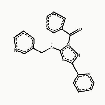 O=C(c1ccccc1)n1nc(-c2ccccn2)nc1NCc1cccnc1